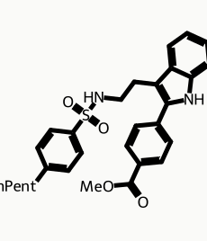 CCCCCc1ccc(S(=O)(=O)NCCc2c(-c3ccc(C(=O)OC)cc3)[nH]c3ccccc23)cc1